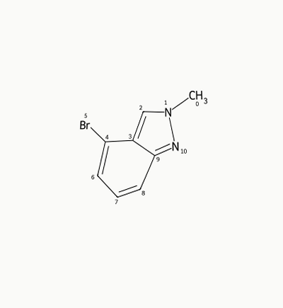 Cn1cc2c(Br)cccc2n1